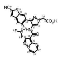 N#Cc1cc2cc(OC(F)F)c(-c3nn(CC(=O)O)cc3NC(=O)c3cnn4cccnc34)cc2s1